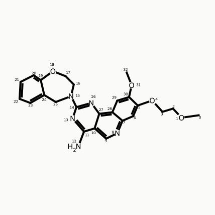 COCCOc1cc2ncc3c(N)nc(N4CCOc5ccccc5C4)nc3c2cc1OC